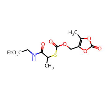 CCOC(=O)CNC(=O)C(C)SC(=O)OCc1oc(=O)oc1C